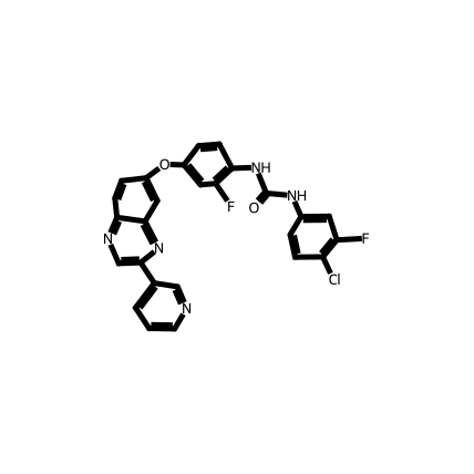 O=C(Nc1ccc(Cl)c(F)c1)Nc1ccc(Oc2ccc3ncc(-c4cccnc4)nc3c2)cc1F